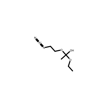 CCOC(C)(O)OCCN=[N+]=[N-]